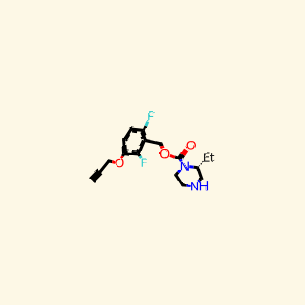 C#CCOc1ccc(F)c(COC(=O)N2CCNC[C@H]2CC)c1F